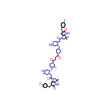 C[C@@H]1CN(CC(=O)N2CC(C)(C)c3[nH]c(=O)c(Cc4ccc(F)cc4)cc32)[C@@H](CN2CCN(C(=O)CCC(=O)N3CCN(C[C@H]4CN[C@H](C)CN4CC(=O)N4CC(C)(C)c5[nH]c(=O)c(Cc6ccc(F)cc6)cc54)[C@H](C)C3)C[C@H]2C)CN1